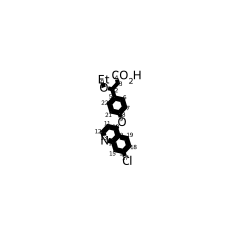 CCOC(CC(=O)O)c1ccc(Oc2ccnc3cc(Cl)ccc23)cc1